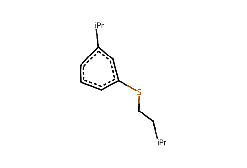 CC(C)CCSc1cccc(C(C)C)c1